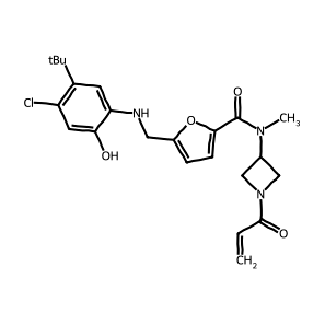 C=CC(=O)N1CC(N(C)C(=O)c2ccc(CNc3cc(C(C)(C)C)c(Cl)cc3O)o2)C1